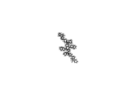 CC1(C)c2ccccc2-c2ccc(-c3ccc(N(c4ccccc4)c4ccc5c(C6=Cc7ccccc7CC6)c6cc(N(C7=CCC(c8ccc9c(c8)C(C)(C)c8ccccc8-9)C=C7)c7ccccc7)ccc6c(-c6ccc7ccccc7c6)c5c4)cc3)cc21